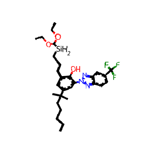 CCCCCC(C)(C)c1cc(CCC[SiH2]C(OCC)OCC)c(O)c(-n2nc3ccc(C(F)(F)F)cc3n2)c1